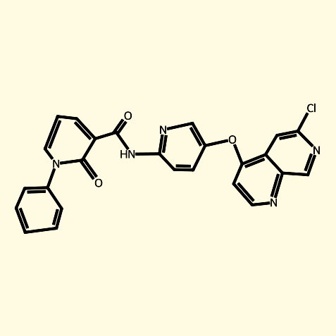 O=C(Nc1ccc(Oc2ccnc3cnc(Cl)cc23)cn1)c1cccn(-c2ccccc2)c1=O